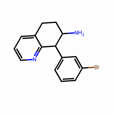 NC1CCc2cccnc2C1c1cccc(Br)c1